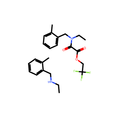 CCN(Cc1ccccc1C)C(=O)C(=O)OCC(F)(F)F.CCNCc1ccccc1C